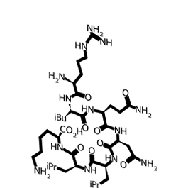 CC[C@H](C)[C@H](NC(=O)[C@@H](N)CCCNC(=N)N)C(=O)N[C@@H](CCC(N)=O)C(=O)N[C@@H](CC(N)=O)C(=O)N[C@@H](CC(C)C)C(=O)N[C@@H](CC(C)C)C(=O)N[C@@H](CCCCN)C(=O)O